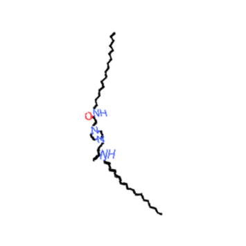 C=C(CCN1CCN(CCC(=O)NCCCCCCCCCCCCCCCCCC)CC1)NCCCCCCCCCCCCCCCCCC